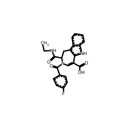 CCNC(=O)C1Cc2c([nH]c3ccccc23)C(C(=O)O)=CN1C(=O)c1ccc(F)cc1